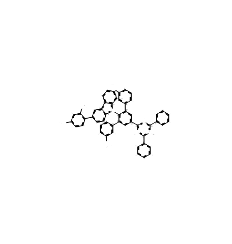 N#Cc1ccc(-c2ccc3c(c2)c2ccccc2n3-c2c(-c3cccc(C(F)(F)F)c3)cc(-c3nc(-c4ccccc4)nc(-c4ccccc4)n3)cc2-c2cccc(C(F)(F)F)c2)c(C#N)c1